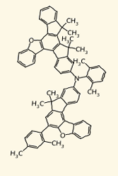 Cc1ccc(-c2cc3c(c4c2oc2ccccc24)-c2ccc(N(c4ccc5c(c4)C(C)(C)c4c6c(c7oc8ccccc8c7c4-5)-c4ccccc4C6(C)C)c4c(C)cccc4C)cc2C3(C)C)c(C)c1